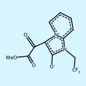 COC(=O)C(=O)c1c([O-])n(CC(F)(F)F)c2cccc[n+]12